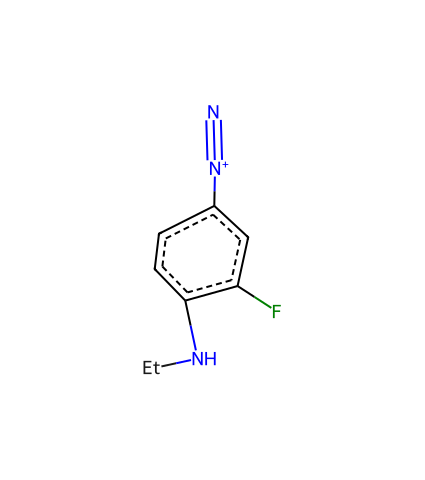 CCNc1ccc([N+]#N)cc1F